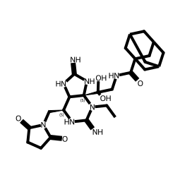 CCN1C(=N)N[C@@H](CN2C(=O)CCC2=O)C2NC(=N)N[C@@]21C(O)(O)CNC(=O)C12CC3CC(CC(C3)C1)C2